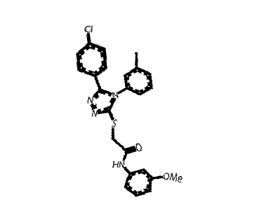 COc1cccc(NC(=O)CSc2nnc(-c3ccc(Cl)cc3)n2-c2cccc(C)c2)c1